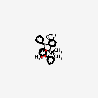 C[C@H](NP(c1ccc2c(c1P(c1ccccc1)c1ccccc1)OCO2)C(C)(C)C)c1ccccc1